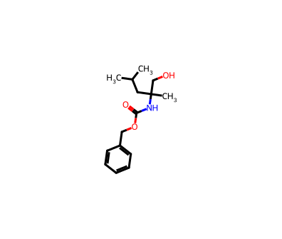 CC(C)CC(C)(CO)NC(=O)OCc1ccccc1